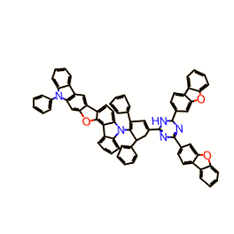 C1=C(C2=NC(c3ccc4c(c3)oc3ccccc34)=NC(c3ccc4c(c3)oc3ccccc34)N2)CC(c2ccccc2)C(n2c3ccccc3c3c4oc5cc6c(cc5c4ccc32)c2ccccc2n6-c2ccccc2)=C1c1ccccc1